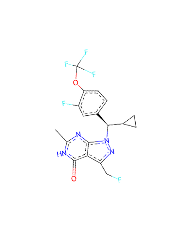 Cc1nc2c(c(CF)nn2[C@@H](c2ccc(OC(F)(F)F)c(F)c2)C2CC2)c(=O)[nH]1